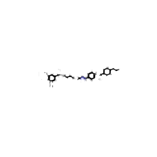 CCCC1CCC(C(=O)Oc2ccc(/C=C/C(=O)OCCCCOC(=O)c3cc(N)cc(N)c3)cc2)CC1